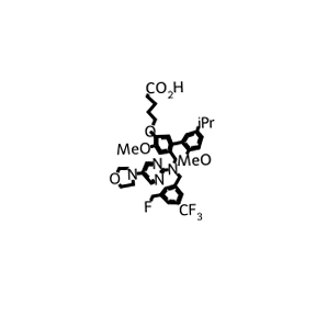 COc1cc(CN(Cc2cc(CF)cc(C(F)(F)F)c2)c2ncc(N3CCOCC3)cn2)c(-c2cc(C(C)C)ccc2OC)cc1OCCCCC(=O)O